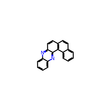 c1ccc2c(c1)ccc1ccc3nc4ccccc4nc3c12